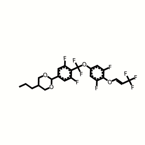 CCCC1COC(c2cc(F)c(C(F)(F)Oc3cc(F)c(OC=CC(F)(F)F)c(F)c3)c(F)c2)OC1